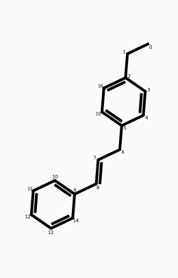 CCc1ccc(CC=Cc2ccccc2)cc1